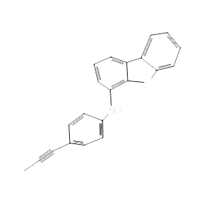 CC#Cc1ccc(Nc2cccc3c2oc2ccccc23)cc1